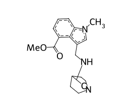 COC(=O)c1cccc2c1c(CNC1CN3CCC1CC3)cn2C